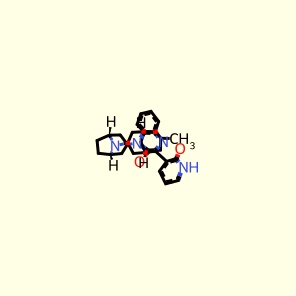 CC1C[C@@H]2CC(N3[C@@H]4CC[C@H]3CC(n3c(=O)c(-c5ccc[nH]c5=O)nc5ccccc53)C4)C[C@H](C1)C2